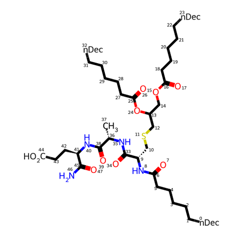 CCCCCCCCCCCCCCCC(=O)N[C@@H](CSCC(COC(=O)CCCCCCCCCCCCCCC)OC(=O)CCCCCCCCCCCCCCC)C(=O)N[C@@H](C)C(=O)N[C@H](CCC(=O)O)C(N)=O